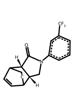 O=C1[C@H]2C3C=CC(CC3)[C@H]2CN1c1cccc(C(F)(F)F)c1